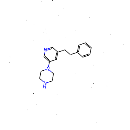 [c]1cccc(CCc2cncc(N3CCNCC3)c2)c1